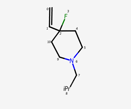 C=CC1(F)CCN(CC(C)C)CC1